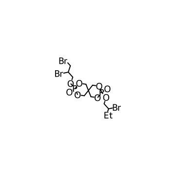 CCC(Br)COP1(=O)OCC2(CO1)COP(=O)(OCC(Br)CBr)OC2